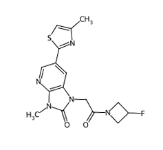 Cc1csc(-c2cnc3c(c2)n(CC(=O)N2CC(F)C2)c(=O)n3C)n1